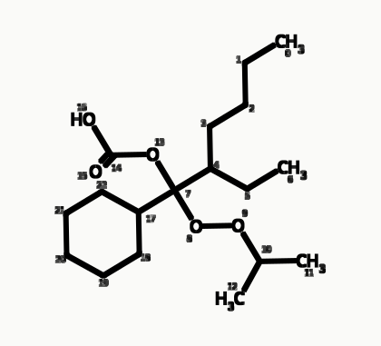 CCCCC(CC)C(OOC(C)C)(OC(=O)O)C1CCCCC1